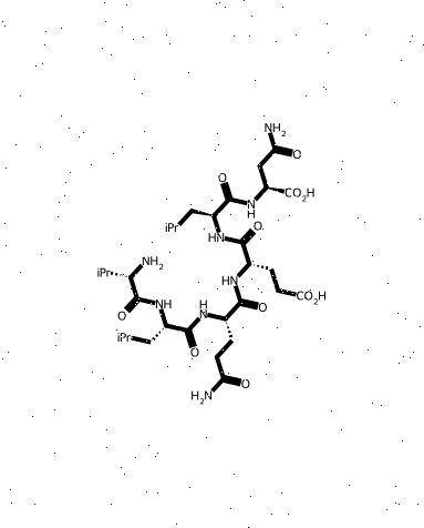 CC(C)C[C@H](NC(=O)[C@H](CCC(=O)O)NC(=O)[C@H](CCC(N)=O)NC(=O)[C@H](CC(C)C)NC(=O)[C@@H](N)C(C)C)C(=O)N[C@@H](CC(N)=O)C(=O)O